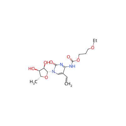 C=Cc1cn([C@@H]2O[C@H](C)[C@@H](O)[C@H]2O)c(=O)nc1NC(=O)OCCCOCC